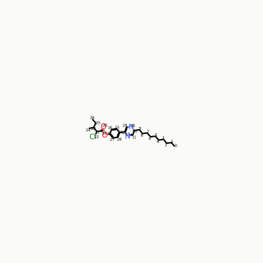 CCCCCCCCCCc1cnc(-c2ccc(OC(=O)C(Cl)C(C)CC)cc2)cn1